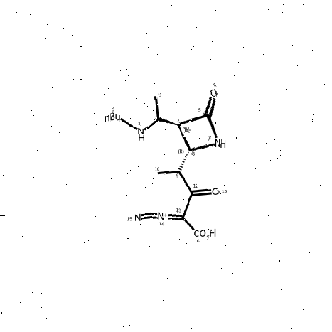 CCCCNC(C)[C@H]1C(=O)N[C@@H]1C(C)C(=O)C(=[N+]=[N-])C(=O)O